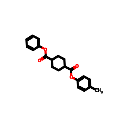 Cc1ccc(OC(=O)C2CCC(C(=O)Oc3ccccc3)CC2)cc1